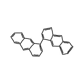 c1ccc2cc3c(-c4cccc5cc6ccccc6cc45)cccc3cc2c1